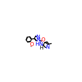 COc1ccccc1-c1cnn(C(=O)N[C@H]2CN3CCC2CC3C)c1